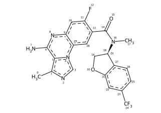 Cc1ncn2c1c(N)nc1cc(F)c(C(=O)N(C)[C@@H]3COc4cc(C(F)(F)F)ccc43)cc12